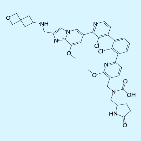 COc1nc(-c2cccc(-c3ccnc(-c4cc(OC)c5nc(CNC6CC7(COC7)C6)cn5c4)c3Cl)c2Cl)ccc1CN(CC1CCC(=O)N1)C(=O)O